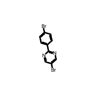 Brc1ccc(-c2ncc(Br)cn2)cc1